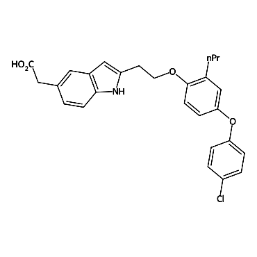 CCCc1cc(Oc2ccc(Cl)cc2)ccc1OCCc1cc2cc(CC(=O)O)ccc2[nH]1